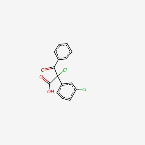 O=C(O)C(Cl)(C(=O)c1ccccc1)c1cccc(Cl)c1